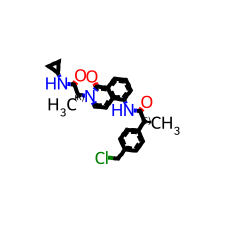 C[C@H](C(=O)Nc1cccc2c(=O)n([C@H](C)C(=O)NC3CC3)ccc12)c1ccc(CCl)cc1